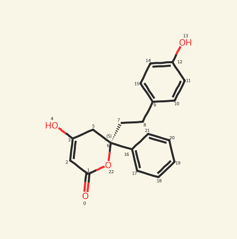 O=C1C=C(O)C[C@@](CCc2ccc(O)cc2)(c2ccccc2)O1